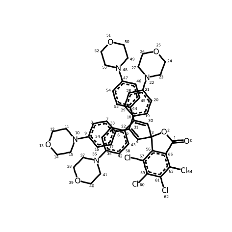 O=C1OC(C=C(c2ccc(N3CCOCC3)cc2)c2ccc(N3CCOCC3)cc2)(C=C(c2ccc(N3CCOCC3)cc2)c2ccc(N3CCOCC3)cc2)c2c(Cl)c(Cl)c(Cl)c(Cl)c21